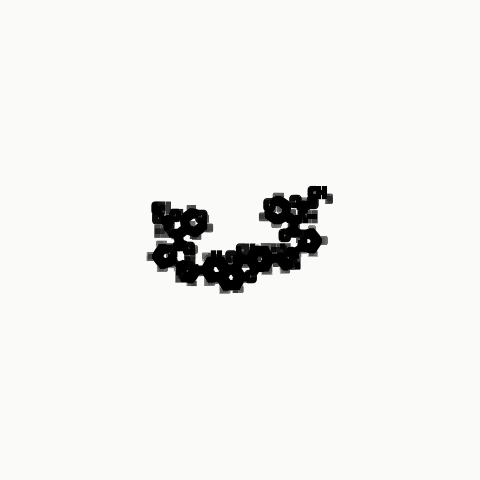 COC(=O)NC(C(=O)N1CCC[C@H]1c1ncc(-c2ccc3c(c2)Oc2ccc4cc(-c5cnc([C@@H]6CCCN6C(=O)C(NC(=O)OC)C6CCOCC6)[nH]5)ccc4c2C3(C)C)[nH]1)C1CCOCC1